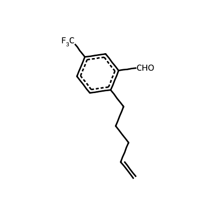 C=CCCCc1ccc(C(F)(F)F)cc1C=O